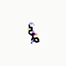 Cn1cc(C2=C3Cc4sc(CN)cc4N(C3=O)C2=O)c2ccccc21